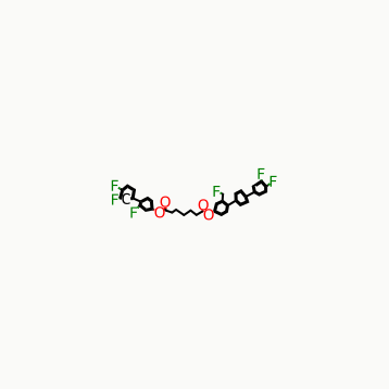 O=C(CCCCCC(=O)Oc1ccc(-c2ccc(-c3ccc(F)c(F)c3)cc2)c(CF)c1)Oc1ccc(-c2ccc(F)c(F)c2)c(F)c1